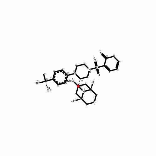 COC1C[C@H]2COC[C@@H](C1)N2C[C@H]1CN(S(=O)(=O)C2=CC=CCC2=S)CCN1c1ccc([C@](C)(O)C(F)(F)F)cc1